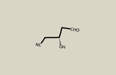 N#CC[C@@H](O)C[C]=O